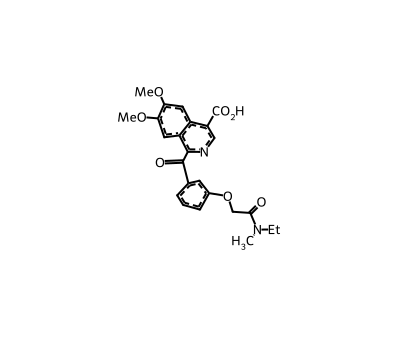 CCN(C)C(=O)COc1cccc(C(=O)c2ncc(C(=O)O)c3cc(OC)c(OC)cc23)c1